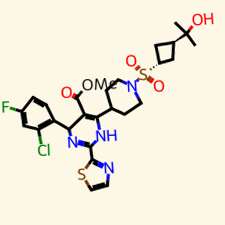 COC(=O)C1=C(C2CCN(S(=O)(=O)[C@H]3C[C@H](C(C)(C)O)C3)CC2)NC(c2nccs2)=NC1c1ccc(F)cc1Cl